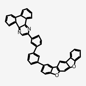 c1cc(-c2cccc(-c3cnc4c5ccccc5c5ccccc5c4n3)c2)cc(-c2ccc3oc4cc5oc6ccccc6c5cc4c3c2)c1